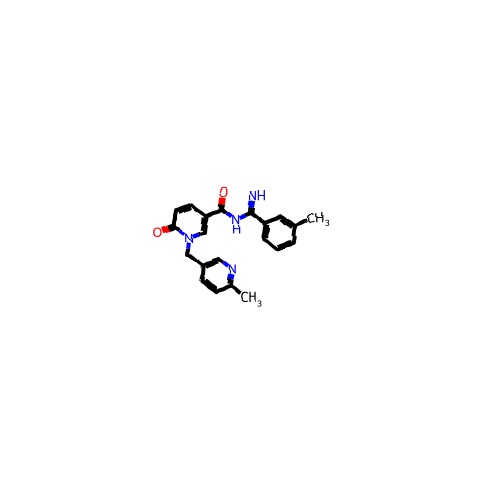 Cc1cccc(C(=N)NC(=O)c2ccc(=O)n(Cc3ccc(C)nc3)c2)c1